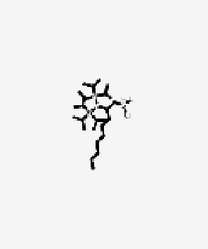 CCCCCCCC(C[SiH](Cl)Cl)N([Si](C(C)C)(C(C)C)C(C)C)[Si](C(C)C)(C(C)C)C(C)C